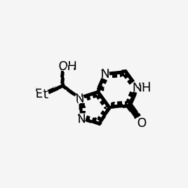 [CH2]CC(O)n1ncc2c(=O)[nH]cnc21